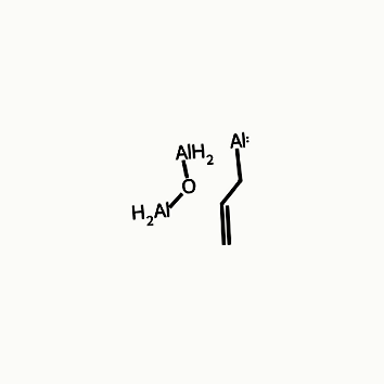 C=C[CH2][Al].[AlH2][O][AlH2]